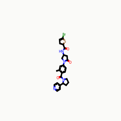 Cc1cc(N2CC(NC(=O)C3CC=C(Br)S3)CC2=O)ccc1C(=O)N1CCCC1c1ccncc1